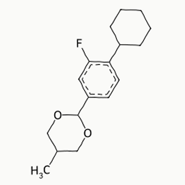 CC1COC(c2ccc(C3CCCCC3)c(F)c2)OC1